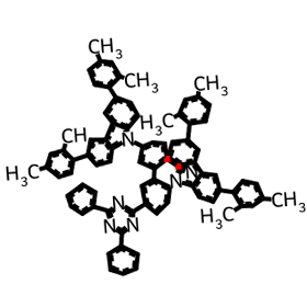 Cc1ccc(-c2ccc3c(c2)c2cc(-c4ccc(C)cc4C)ccc2n3-c2ccc(C#N)c(-c3cc(-c4nc(-c5ccccc5)nc(-c5ccccc5)n4)ccc3-n3c4ccc(-c5ccc(C)cc5C)cc4c4cc(-c5ccc(C)cc5C)ccc43)c2)c(C)c1